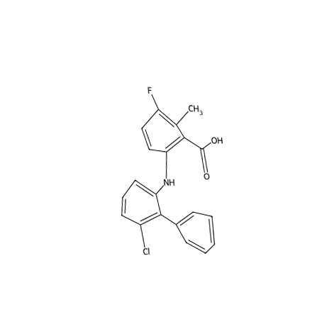 Cc1c(F)ccc(Nc2cccc(Cl)c2-c2ccccc2)c1C(=O)O